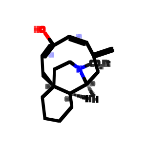 C=C1/C=C\C(O)=C/C[C@]23CCCC[C@@H]2[C@H](C1)N(C(=O)OCC)CC3